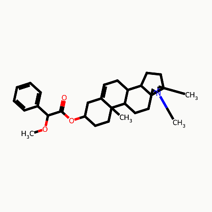 COC(C(=O)OC1CCC2(C)C(=CCC3C2CCC24CN(C)C(C)C2CCC34)C1)c1ccccc1